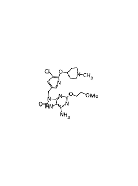 COCCOc1nc(N)c2[nH]c(=O)n(Cc3cnc(OC4CCN(C)CC4)c(Cl)c3)c2n1